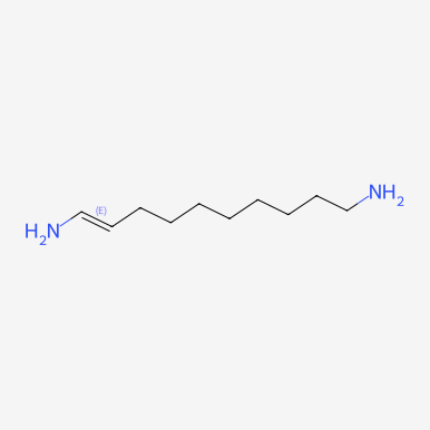 N/C=C/CCCCCCCCN